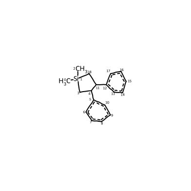 C[Si]1(C)CC(c2ccccc2)C(c2ccccc2)C1